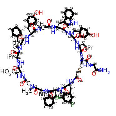 CCCC[C@H]1C(=O)N(C)CC(=O)N[C@@H](CC(=O)O)C(=O)N[C@@H](C(C)C)C(=O)N(C)[C@@H](Cc2ccccc2)C(=O)N[C@@H](Cc2ccc(O)cc2)C(=O)N(C)CC(=O)N[C@@H](Cc2c[nH]c3ccccc23)C(=O)N[C@@H](Cc2ccc(O)cc2)C(O)N[C@@H](CC(C)C)C(=O)N[C@H](C(=O)NCC(N)=O)CSCC(=O)N[C@@H](Cc2cc(F)cc(F)c2)C(=O)N(C)[C@@H](Cc2ccccc2)C(=O)N1C